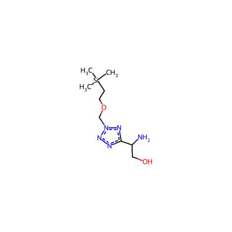 C[Si](C)(C)CCOCn1nnc(C(N)CO)n1